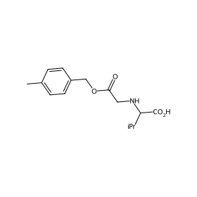 Cc1ccc(COC(=O)CNC(C(=O)O)C(C)C)cc1